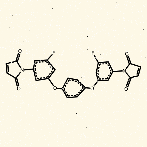 O=C1C=CC(=O)N1c1cc(F)cc(Oc2ccc(Oc3cc(F)cc(N4C(=O)C=CC4=O)c3)cc2)c1